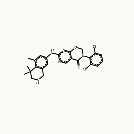 Cc1cc(Nc2ncc3c(n2)OCN(c2c(Cl)cccc2Cl)C3=O)cc2c1C(C)(C)CNC2